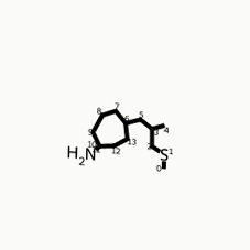 CSCC(C)CC1CCCC(N)CC1